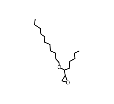 CCCCCCCCCCCOC(CCCCC)C1CO1